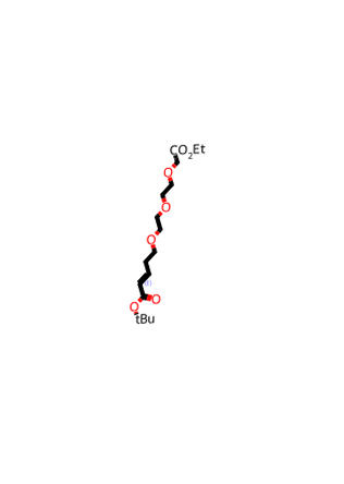 CCOC(=O)COCCOCCOCC/C=C/C(=O)OC(C)(C)C